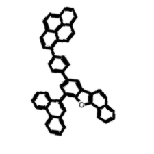 c1ccc2c(c1)cc(-c1cc(-c3ccc(-c4ccc5ccc6cccc7ccc4c5c67)cc3)cc3c1oc1c4ccccc4ccc31)c1ccccc12